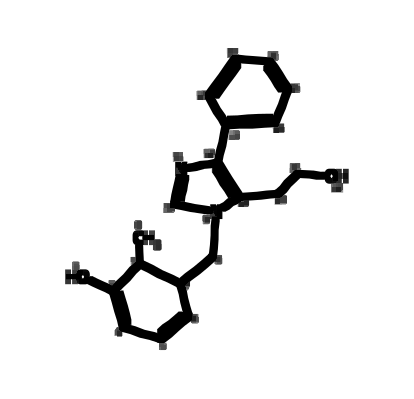 CC1C(O)=CC=CC1Cn1cnc(-c2ccccc2)c1CCO